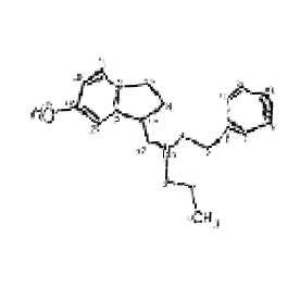 CCCN(CCc1ccccc1)CC1CCc2ccc(O)cc21